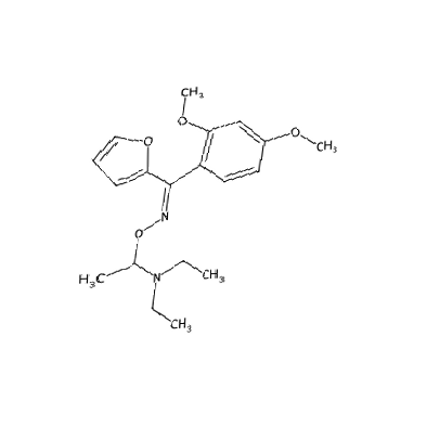 CCN(CC)C(C)ON=C(c1ccco1)c1ccc(OC)cc1OC